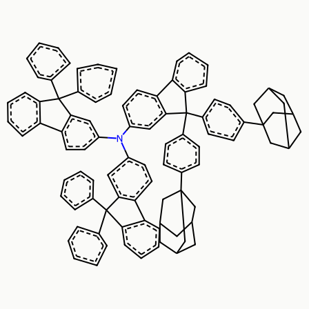 c1ccc(C2(c3ccccc3)c3ccccc3-c3ccc(N(c4ccc5c(c4)C(c4ccccc4)(c4ccccc4)c4ccccc4-5)c4ccc5c(c4)C(c4ccc(C67CC8CC(CC(C8)C6)C7)cc4)(c4ccc(C67CC8CC(CC(C8)C6)C7)cc4)c4ccccc4-5)cc32)cc1